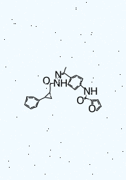 CC(=NNC(=O)C1CC1c1ccccc1)c1ccc(NC(=O)c2ccco2)cc1